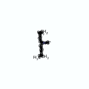 C=CC(=O)OCC(COc1ccc(OC(=O)C2CCC(C(=O)OCCc3ccc(OC(=O)C4CCC(C(=O)Oc5ccc(OCC(COC(=O)C=C)OC(=O)C=C)cc5)CC4)c4nc(/N=N/c5ccc([N+](=O)[O-])cc5)sc34)CC2)cc1)OC(=O)C=C